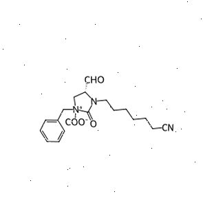 N#CCCCCCCN1C(=O)[N+](Cc2ccccc2)(C(=O)[O-])C[C@@H]1C=O